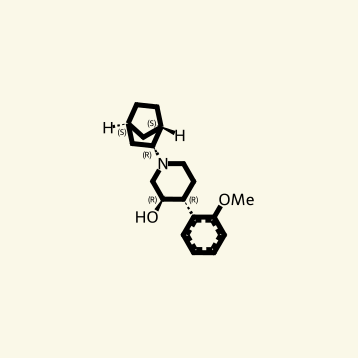 COc1ccccc1[C@H]1CCN([C@@H]2C[C@H]3CC[C@H]2C3)C[C@@H]1O